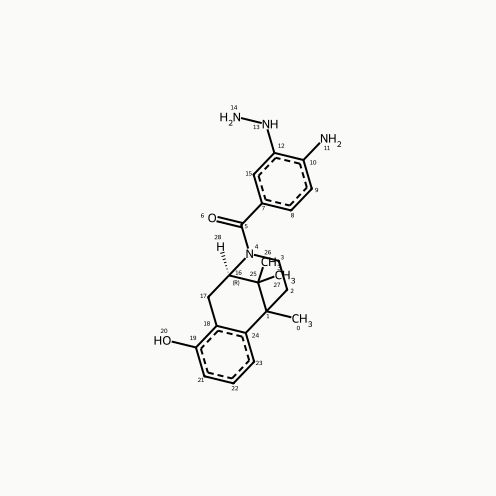 CC12CCN(C(=O)c3ccc(N)c(NN)c3)[C@H](Cc3c(O)cccc31)C2(C)C